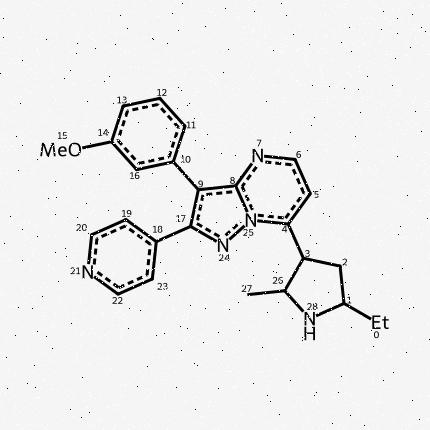 CCC1CC(c2ccnc3c(-c4cccc(OC)c4)c(-c4ccncc4)nn23)C(C)N1